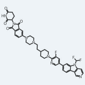 O=C1CCC(N2C(=O)c3ccc(N4CCN(CCC5CCN(c6ncc(-c7ccc8c9cnccc9n(C(F)F)c8c7)cc6F)CC5)CC4)cc3C2=O)C(=O)N1